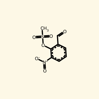 CS(=O)(=O)Oc1c(C=O)cccc1[N+](=O)[O-]